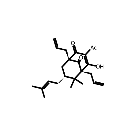 C=CC[C@]12C[C@@H](CC=C(C)C)C(C)(C)[C@](CC=C)(C1=O)C(O)=C(C(C)=O)C2=O